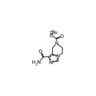 CC(C)(C)OC(=O)N1CCn2cnc(C(N)=O)c2C1